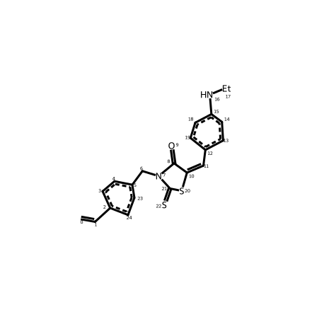 C=Cc1ccc(CN2C(=O)/C(=C\c3ccc(NCC)cc3)SC2=S)cc1